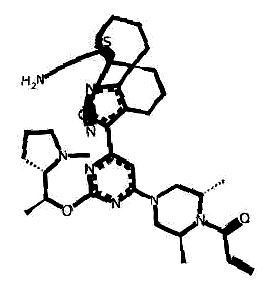 C=CC(=O)N1[C@@H](C)CN(c2cc(-c3onc4c3CCC[C@@]43CCCc4sc(N)c(C#N)c43)nc(O[C@@H](C)[C@@H]3CCCN3C)n2)C[C@@H]1C